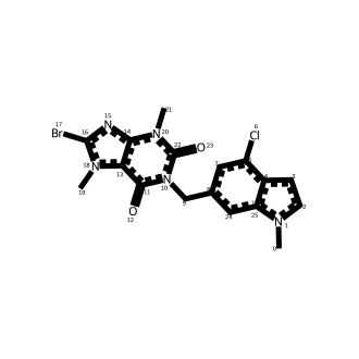 Cn1ccc2c(Cl)cc(Cn3c(=O)c4c(nc(Br)n4C)n(C)c3=O)cc21